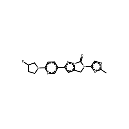 Cc1ncc(N2Cc3cc(-c4ccc(N5CCC(F)C5)nc4)nn3C2=O)s1